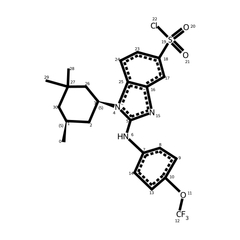 C[C@@H]1C[C@H](n2c(Nc3ccc(OC(F)(F)F)cc3)nc3cc(S(=O)(=O)Cl)ccc32)CC(C)(C)C1